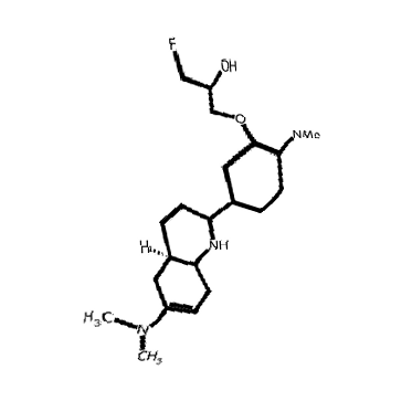 CNC1CCC(C2CC[C@@H]3CC(N(C)C)=CCC3N2)CC1OCC(O)CF